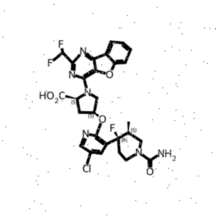 C[C@H]1CN(C(N)=O)CC[C@]1(F)c1cc(Cl)cnc1O[C@H]1C[C@@H](C(=O)O)N(c2nc(C(F)F)nc3c2oc2ccccc23)C1